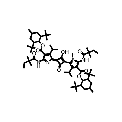 CCC(C)(C)C(=O)NC1=N/C(=C2\C(=O)C(c3[nH]c(NC(=O)C(C)(C)CC)c(C(=O)OC4C(C(C)(C)C)CC(C)CC4C(C)(C)C)c3C(C)C)=C2O)C(C(C)C)=C1C(=O)OC1C(C(C)(C)C)CC(C)CC1C(C)(C)C